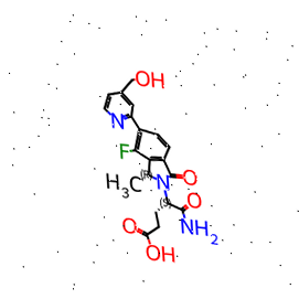 C[C@@H]1c2c(ccc(-c3cc(CO)ccn3)c2F)C(=O)N1[C@@H](CCC(=O)O)C(N)=O